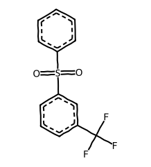 O=S(=O)(c1ccccc1)c1cccc(C(F)(F)F)c1